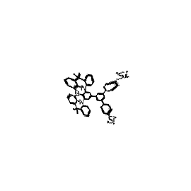 CC1(C)c2ccccc2N2c3cc(-c4cc(-c5ccc([Si](C)(C)C)cc5)cc(-c5ccc([Si](C)(C)C)cc5)c4)cc4c3B(c3cccc1c32)c1cccc2c1N4c1ccccc1C2(C)C